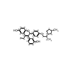 C[C@@H]1CCN([C@@H](C)COc2ccc(C3Oc4ccc(O)cc4C(CF)=C3c3cccc(O)c3)cc2)C1